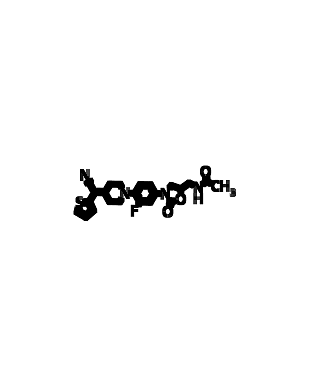 CC(=O)NCC1CN(c2ccc(N3CCC(=C(C#N)c4cccs4)CC3)c(F)c2)C(=O)O1